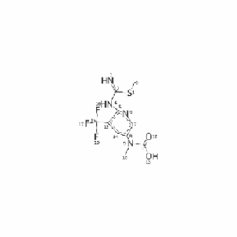 CSC(=N)Nc1ncc(N(C)C(=O)O)cc1C(F)(F)F